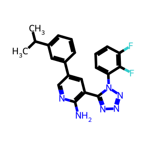 CC(C)c1cccc(-c2cnc(N)c(-c3nnnn3-c3cccc(F)c3F)c2)c1